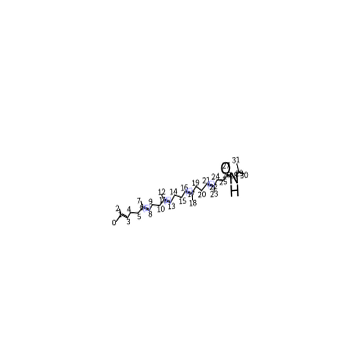 CC(C)=CCC/C(C)=C/CC/C(C)=C/CC/C=C(\C)CC/C=C(\C)CCC(=O)NC(C)C